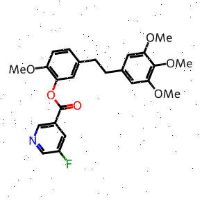 COc1ccc(CCc2cc(OC)c(OC)c(OC)c2)cc1OC(=O)c1cncc(F)c1